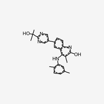 Cc1ccc(C)c(Nc2c(C)c(O)nc3ccc(-c4cnc(C(C)(C)O)nc4)cc23)c1